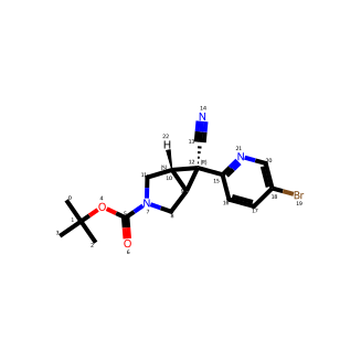 CC(C)(C)OC(=O)N1CC2[C@H](C1)[C@@]2(C#N)c1ccc(Br)cn1